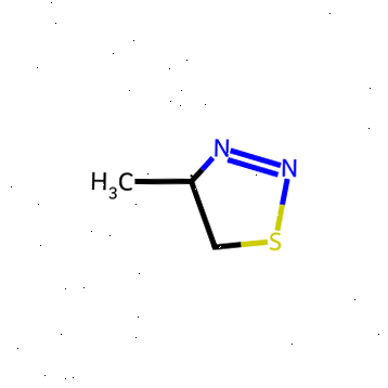 C[C]1CSN=N1